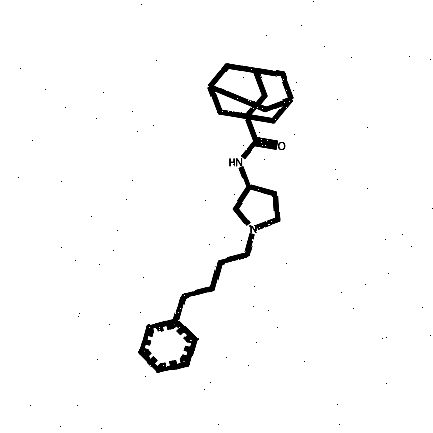 O=C(NC1CCN(CCCCc2ccccc2)C1)C12CC3CC(CC(C3)C1)C2